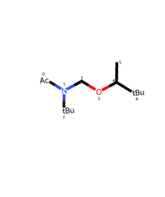 CC(=O)N(COC(C)C(C)(C)C)C(C)(C)C